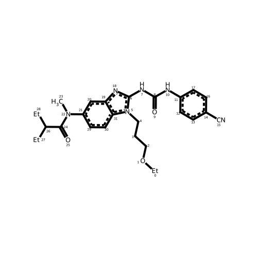 CCOCCCn1c(NC(=O)Nc2ccc(C#N)cc2)nc2cc(N(C)C(=O)C(CC)CC)ccc21